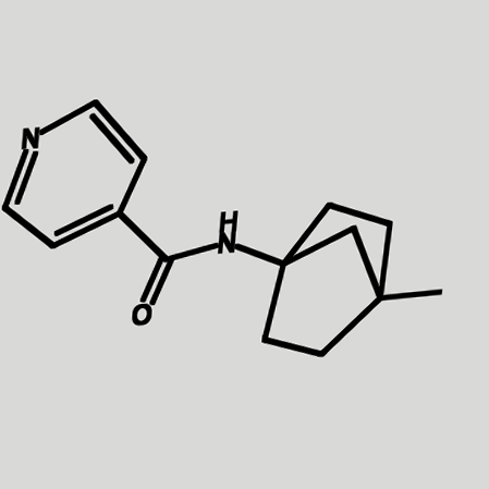 CC12CCC(NC(=O)c3ccncc3)(CC1)C2